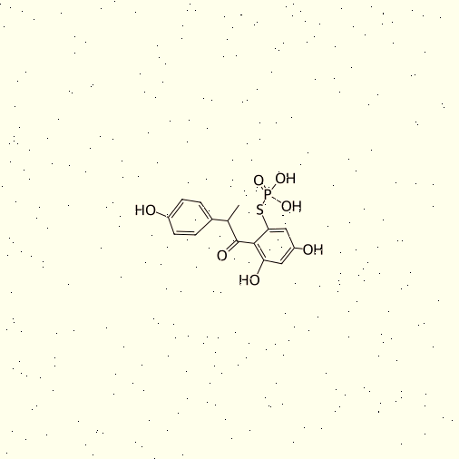 CC(C(=O)c1c(O)cc(O)cc1SP(=O)(O)O)c1ccc(O)cc1